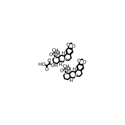 CS(=O)(=O)N1CCC[C@@H]2CN3CCc4cc5c(cc4[C@@H]3C[C@@H]21)OCO5.CS(=O)(=O)N1CCC[C@@H]2CN3CCc4cc5c(cc4[C@@H]3C[C@@H]21)OCO5.O=C(O)C(=O)O